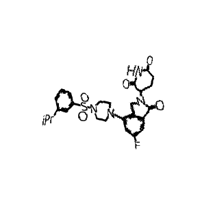 CC(C)c1cccc(S(=O)(=O)N2CCN(c3cc(F)cc4c3CN(C3CCC(=O)NC3=O)C4=O)CC2)c1